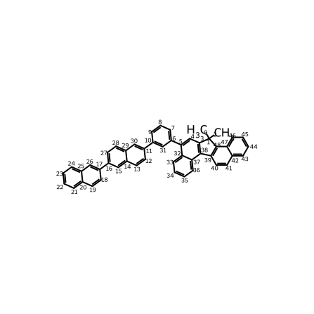 CC1(C)c2cc(-c3cccc(-c4ccc5cc(-c6ccc7ccccc7c6)ccc5c4)c3)c3ccccc3c2-c2ccc3ccccc3c21